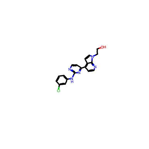 OCCn1ccc2c(-c3ccnc(Nc4cccc(Cl)c4)n3)ccnc21